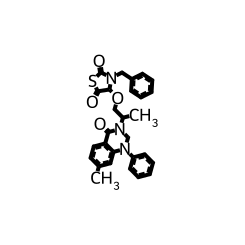 Cc1ccc2c(c1)N(c1ccccc1)CN(C(C)COC1C(=O)SC(=O)N1Cc1ccccc1)C2=O